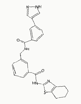 O=C(NCc1cccc(C(=O)Nc2nc3c(s2)CCCC3)c1)c1cccc(-c2cn[nH]c2)c1